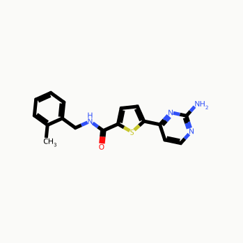 Cc1ccccc1CNC(=O)c1ccc(-c2ccnc(N)n2)s1